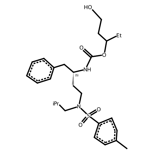 CCC(CCO)OC(=O)N[C@H](CCN(CC(C)C)S(=O)(=O)c1ccc(C)cc1)Cc1ccccc1